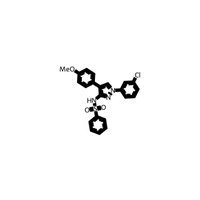 COc1ccc(-c2cn(-c3cccc(Cl)c3)nc2NS(=O)(=O)c2ccccc2)cc1